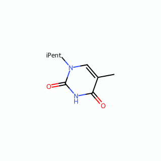 CCCC(C)n1cc(C)c(=O)[nH]c1=O